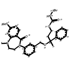 CSc1ncc2c(n1)N(C)CCN(c1cccc(COC(C)(CCOC(=O)NC(C)(C)C)c3ccccc3)c1)C2=O